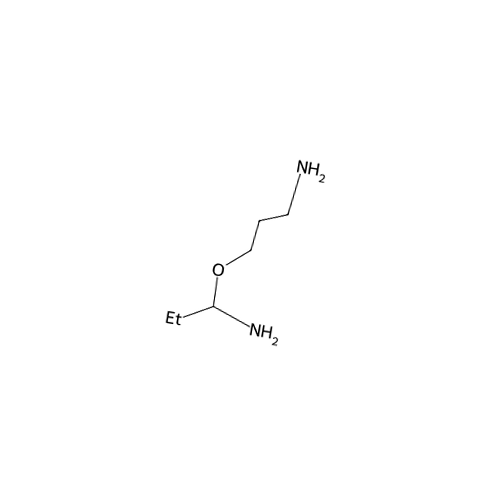 CCC(N)OCCCN